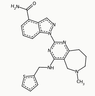 CN1CCCc2nc(-n3ncc4c(C(N)=O)cccc43)nc(NCc3cccs3)c2C1